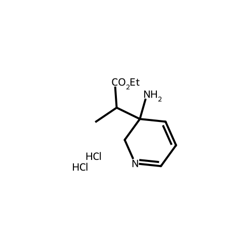 CCOC(=O)C(C)C1(N)C=CC=NC1.Cl.Cl